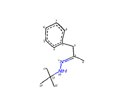 CC(Cc1ccccc1)=NNC(C)(C)C